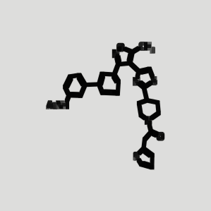 CC(=O)Nc1cccc(-c2cccc(-c3noc(C)c3-c3csc(C4CCN(C(=O)Cc5cccs5)CC4)n3)c2)c1